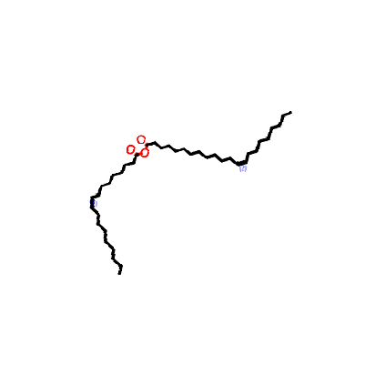 CCCCCCCC/C=C\CCCCCCCCCCCC(=O)OC(=O)CCCCCCC/C=C\CCCCCCCC